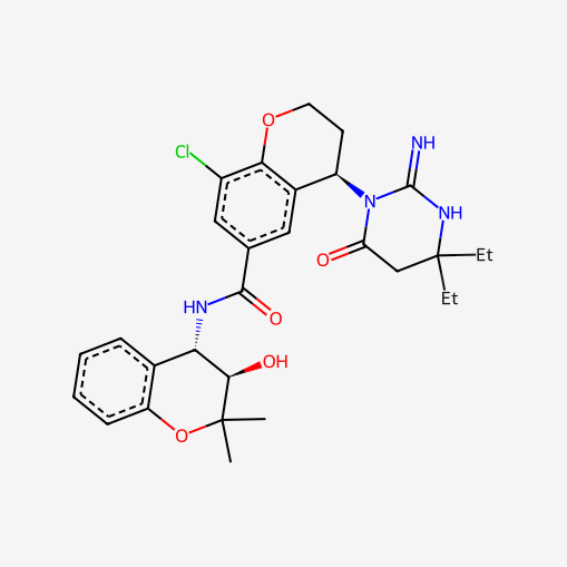 CCC1(CC)CC(=O)N([C@@H]2CCOc3c(Cl)cc(C(=O)N[C@H]4c5ccccc5OC(C)(C)[C@@H]4O)cc32)C(=N)N1